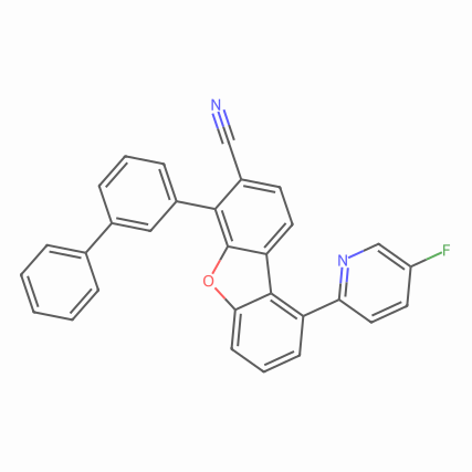 N#Cc1ccc2c(oc3cccc(-c4ccc(F)cn4)c32)c1-c1cccc(-c2ccccc2)c1